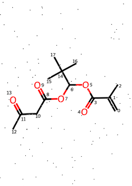 C=C(C)C(=O)OC(OC(=O)CC(C)=O)C(C)(C)C